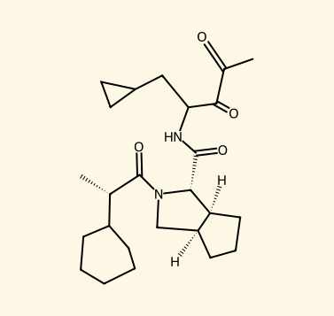 CC(=O)C(=O)C(CC1CC1)NC(=O)[C@@H]1[C@H]2CCC[C@H]2CN1C(=O)[C@@H](C)C1CCCCC1